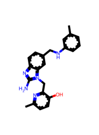 Cc1cccc(NCc2ccc3nc(N)n(Cc4nc(C)ccc4O)c3c2)c1